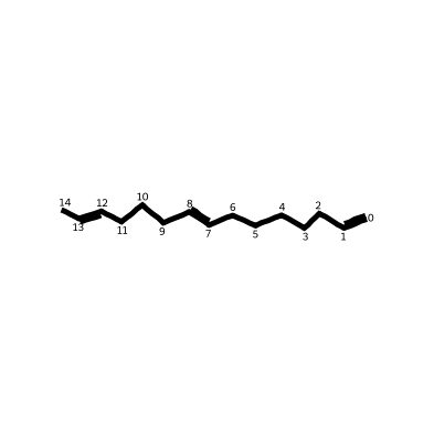 C=CCCCCCC=CCCCC=CC